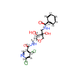 O=C(NC[C@]1(O)CO[C@H](CNC(=O)c2cnc(Cl)cc2Cl)[C@H]1O)c1ccccc1